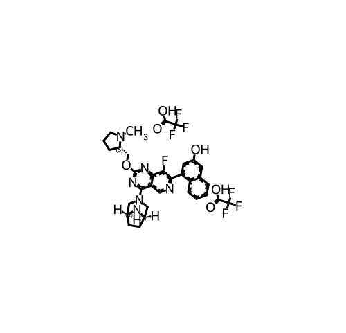 CN1CCC[C@H]1COc1nc(N2C[C@H]3CC[C@@H](C2)N3)c2cnc(-c3cc(O)cc4ccccc34)c(F)c2n1.O=C(O)C(F)(F)F.O=C(O)C(F)(F)F